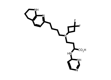 O=C(O)C(CCN(CCCCc1ccc2c(n1)NCCC2)C1CC(F)(F)C1)NC1C=CN=CN1